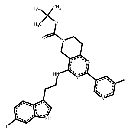 CC(C)(C)OC(=O)N1CCc2nc(-c3cncc(F)c3)nc(NCCc3c[nH]c4cc(F)ccc34)c2C1